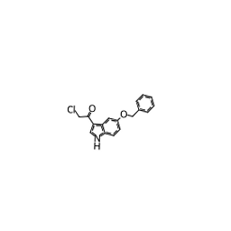 O=C(CCl)c1c[nH]c2ccc(OCc3ccccc3)cc12